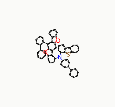 c1ccc(-c2ccc(N(c3cccc4c3sc3ccccc34)c3cccc4oc5c(-c6ccccc6-c6ccccc6)c6c(cc5c34)oc3ccccc36)cc2)cc1